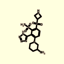 NC1CCCN(c2ccc(S(=O)(=O)C3CNC3)c(S(N)(=O)=O)c2-c2nnn[nH]2)C1